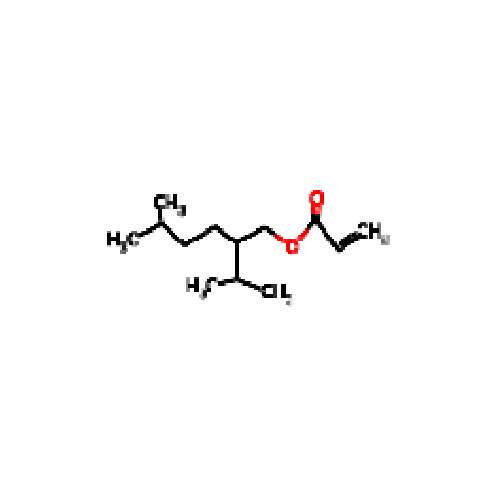 C=CC(=O)OCC(CCC(C)C)C(C)C